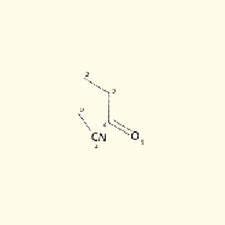 CC#N.CCC=O